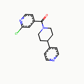 O=C(c1ccnc(Cl)c1)N1CCC(c2ccncc2)CC1